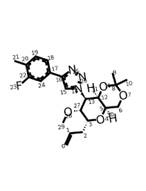 C=CC[C@H]1O[C@@H]2COC(C)(C)O[C@@H]2[C@H](n2cc(-c3ccc(C)c(F)c3)nn2)[C@H]1OC